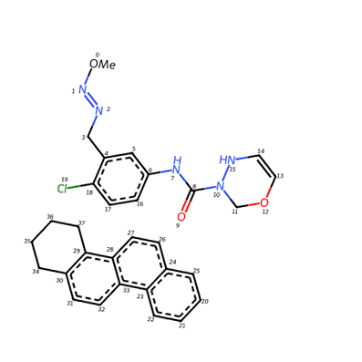 CON=NCc1cc(NC(=O)N2COC=CN2)ccc1Cl.c1ccc2c(c1)ccc1c3c(ccc12)CCCC3